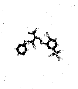 CC(=O)C(N=Nc1cc(S(N)(=O)=O)ccc1O)C(=O)Nc1ccccc1